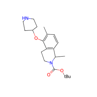 Cc1ccc2c(c1OC1CCNCC1)CCN(C(=O)OC(C)(C)C)C2C